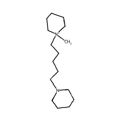 C[N+]1(CCCCCN2CCCCC2)CCCCC1